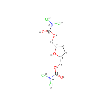 O=C(OC[C@H]1CC[C@@H](COC(=O)N(Cl)Cl)O1)N(Cl)Cl